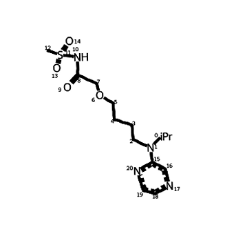 CC(C)N(CCCCOCC(=O)NS(C)(=O)=O)c1cnccn1